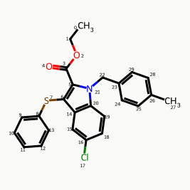 CCOC(=O)c1c(Sc2ccccc2)c2cc(Cl)ccc2n1Cc1ccc(C)cc1